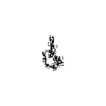 COCCC(C)(C)OCCC(C)(C)OCCS(=O)(=O)OCC(C)(O)C(=O)[C@H](CC(C)C)NC(=O)CNC(=O)[C@H](CC(C)C)NC(=O)CNC(=O)CN1CCOCC1